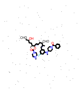 C/C(=C\c1cc(F)cc(N(C)C2CCN(C(=O)c3ccccc3)CC2)c1)[C@@H](C=O)[C@@H](C)/C=C/[C@H](OC(=O)N1CCN(C)CC1)[C@@H](C)CC[C@@H](O)CC=O